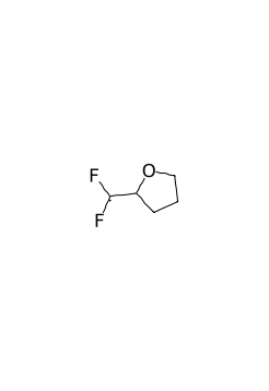 F[C](F)C1CCCO1